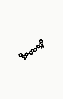 CC12CCC1(C)N(c1ccccc1)c1ccc(-c3ccc4c(c3)Cc3cc(-c5ccc6c(c5)C5(C)CCC5(C)N6c5ccccc5)ccc3-4)cc12